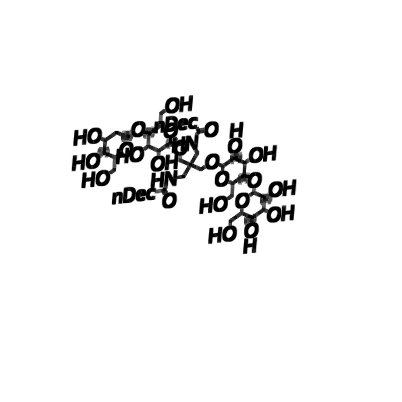 CCCCCCCCCCC(=O)NCC(CNC(=O)CCCCCCCCCC)(COC1OC(CO)[C@H](OC2OC(CO)[C@H](O)C(O)[C@H]2O)C(O)[C@H]1O)CO[C@H]1OC(CO)[C@H](O[C@H]2CC(O)[C@@H](O)C(CO)O2)C(O)C1O